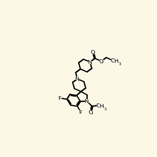 CCOC(=O)N1CCC(CN2CCC3(CC2)CN(C(C)=O)c2c(F)cc(F)cc23)CC1